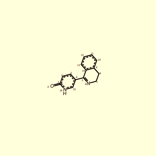 O=c1ccc(C2=NCCc3ccccc32)c[nH]1